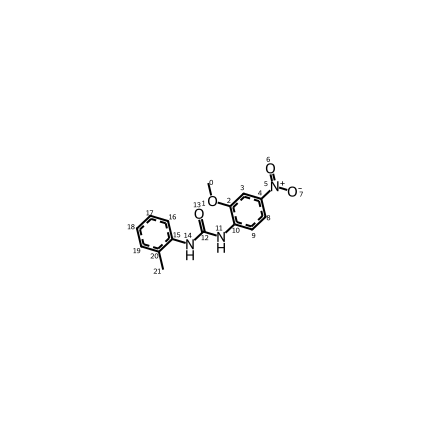 COc1cc([N+](=O)[O-])ccc1NC(=O)Nc1ccccc1C